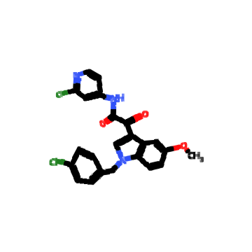 COc1ccc2c(c1)c(C(=O)C(=O)Nc1ccnc(Cl)c1)cn2Cc1ccc(Cl)cc1